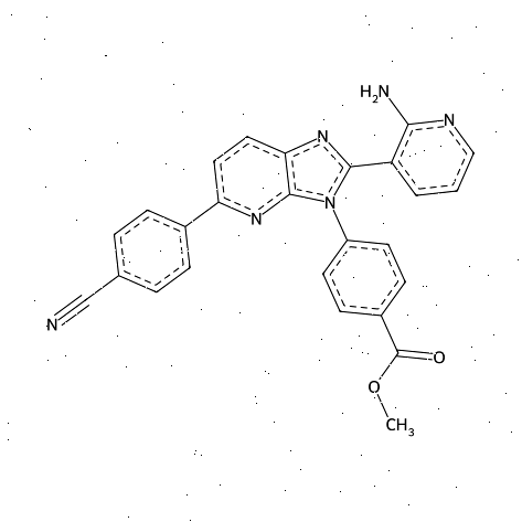 COC(=O)c1ccc(-n2c(-c3cccnc3N)nc3ccc(-c4ccc(C#N)cc4)nc32)cc1